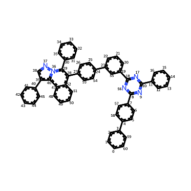 c1ccc(-c2ccc(-c3nc(-c4ccccc4)nc(-c4cccc(-c5ccc(-c6c(-c7ccccc7)n7ncc(-c8ccccc8)c7c7ccccc67)cc5)c4)n3)cc2)cc1